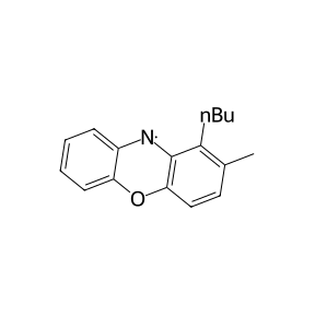 CCCCc1c(C)ccc2c1[N]c1ccccc1O2